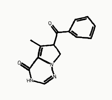 CC1=C2C(=O)NC=NN2CC1C(=O)c1ccccc1